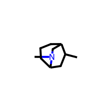 CC1CC2CCCC1CN2C